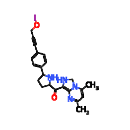 CC1=CC(C)=NC2=C(C(=O)C3CCC(c4ccc(C#CCOI)cc4)N3)NCN12